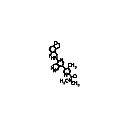 Cc1cc(C(=O)N(C)C)ncc1-c1cnc(NCc2c(F)ccc3c2CCO3)c2cnncc12